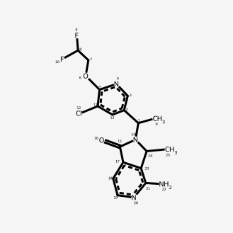 CC(c1cnc(OCC(F)F)c(Cl)c1)N1C(=O)c2ccnc(N)c2C1C